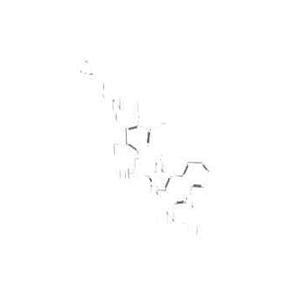 CCCCc1nc2c(NC(C)(C)C)nc3ccccc3c2n1Cc1c(F)c(F)c(CNCCC2CC2)c(F)c1F